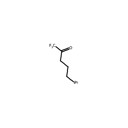 CC(C)CCCC(=O)C(F)(F)F